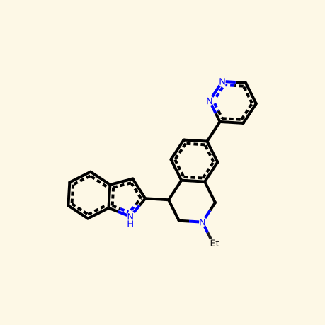 CCN1Cc2cc(-c3cccnn3)ccc2C(c2cc3ccccc3[nH]2)C1